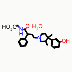 CC1CN(CCC(C(=O)NCC(=O)O)c2ccccc2)CCC1(C)c1cccc(O)c1.O